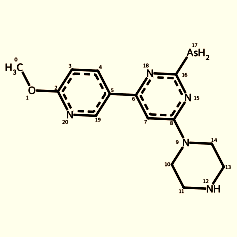 COc1ccc(-c2cc(N3CCNCC3)nc([AsH2])n2)cn1